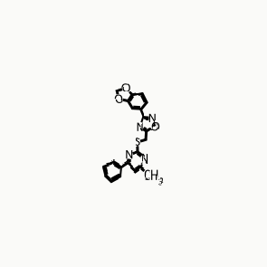 Cc1cc(-c2ccccc2)nc(SCc2nc(-c3ccc4c(c3)OCO4)no2)n1